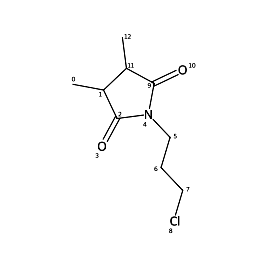 CC1C(=O)N(CCCCl)C(=O)C1C